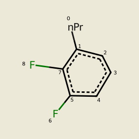 CCCc1cccc(F)c1F